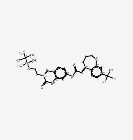 CC(C)(C)[Si](C)(C)OCCN1Cc2ccc(NC(=O)/C=C3\CCCOc4cc(C(F)(F)F)ccc43)cc2NC1=O